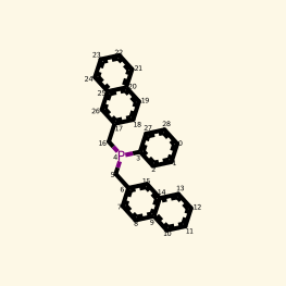 c1ccc(P(Cc2ccc3ccccc3c2)Cc2ccc3ccccc3c2)cc1